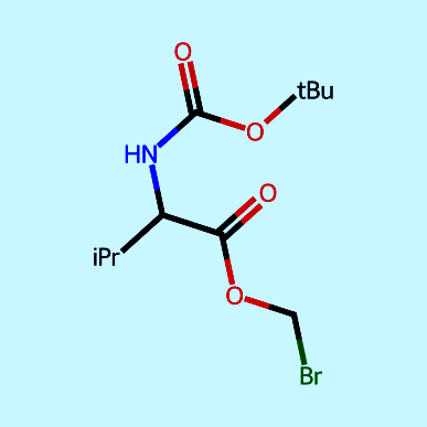 CC(C)C(NC(=O)OC(C)(C)C)C(=O)OCBr